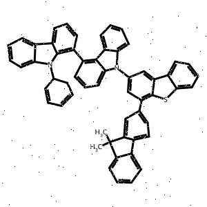 CC1(C)c2ccccc2-c2ccc(-c3cc(-n4c5ccccc5c5c(-c6cccc7c8ccccc8n(C8C=CC=CC8)c67)cccc54)cc4c3sc3ccccc34)cc21